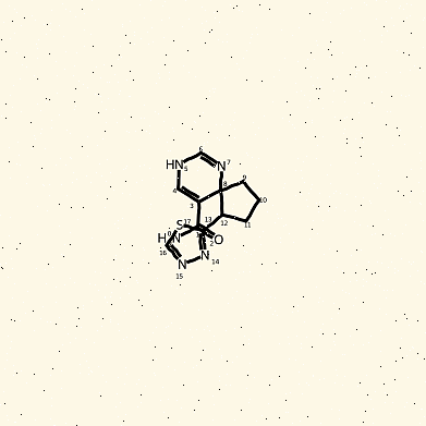 NC(=O)C1=CNC=NC12CCCC2c1nncs1